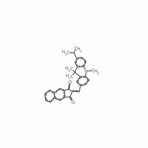 CC(C)c1ccc2c(c1)C(C)(C)c1cc(C=C3C(=O)c4cc5ccccc5cc4C3=O)ccc1N2C